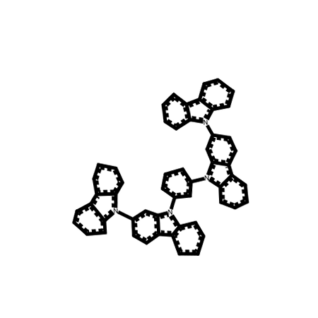 c1cc(-n2c3ccccc3c3ccc(-n4c5ccccc5c5ccccc54)cc32)cc(-n2c3ccccc3c3ccc(-n4c5ccccc5c5ccccc54)cc32)c1